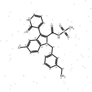 CS(=O)(=O)NC(=O)c1c(-c2ccc[nH]c2=O)c2cc(Cl)ccc2n1Cc1cccc(CN)c1